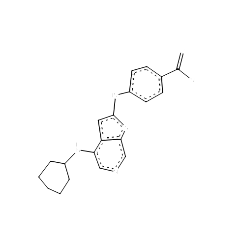 NC(=O)c1ccc(Nc2cc3c(NC4CCCCC4)cncc3[nH]2)cc1